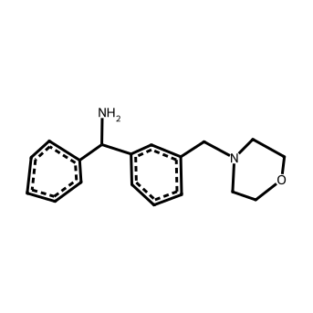 NC(c1ccccc1)c1cccc(CN2CCOCC2)c1